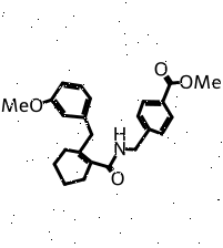 COC(=O)c1ccc(CNC(=O)C2=C(Cc3cccc(OC)c3)CCCC2)cc1